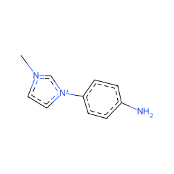 Cn1cc[n+](-c2ccc(N)cc2)c1